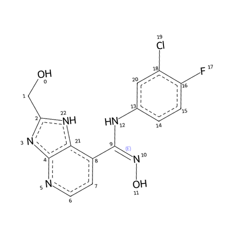 OCc1nc2nccc(/C(=N\O)Nc3ccc(F)c(Cl)c3)c2[nH]1